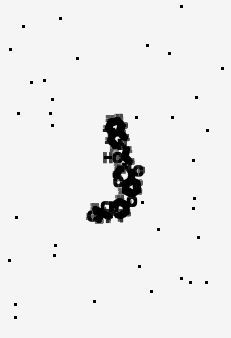 CC1(CN2CCC(Oc3ccc4c(c3)OCCN(CC(O)CN3CCc5ccccc5C3)C4=O)CC2)COC1